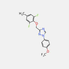 Cc1cc(F)c(OCc2ncn(-c3ccc(OC(F)(F)F)cc3)n2)c(F)c1